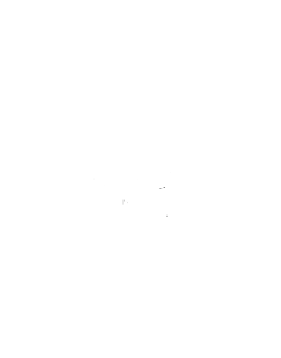 CC(C)(C)OC(C1CCOCC1)[C@H]1CN[C@H](C(=O)O)C1